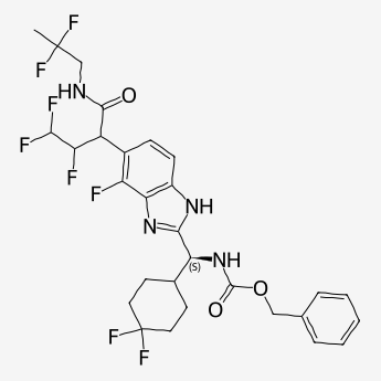 CC(F)(F)CNC(=O)C(c1ccc2[nH]c([C@@H](NC(=O)OCc3ccccc3)C3CCC(F)(F)CC3)nc2c1F)C(F)C(F)F